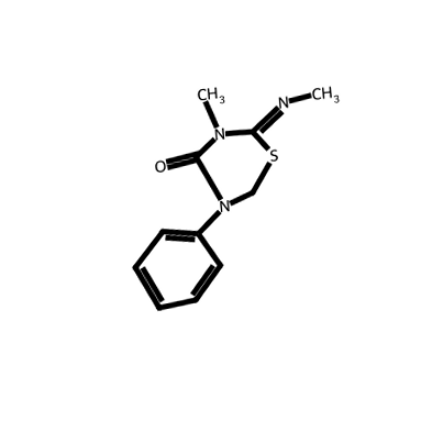 C/N=C1\SCN(c2ccccc2)C(=O)N1C